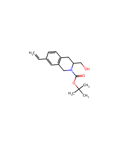 C=Cc1ccc2c(c1)CN(C(=O)OC(C)(C)C)C(CO)C2